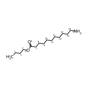 CCCCOC(=O)CCCCCCCCCCN